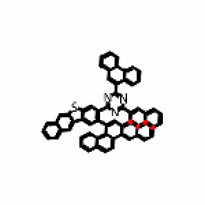 c1ccc2cc(-c3nc(-c4cc5sc6cc7ccccc7cc6c5cc4-c4cc5cc6ccccc6cc5c5ccc6ccccc6c45)nc(-c4cc5ccccc5c5ccccc45)n3)ccc2c1